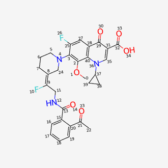 COc1c(N2CCC/C(=C(\F)CNC(=O)c3ccccc3C(C)=O)C2)c(F)cc2c(=O)c(C(=O)O)cn(C3CC3)c12